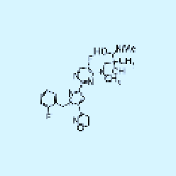 CNC(O)C(C)(O)CN(C)c1nc(-c2cc(-c3ccon3)n(Cc3ccccc3F)n2)ncc1F